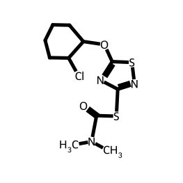 CN(C)C(=O)Sc1nsc(OC2CCCCC2Cl)n1